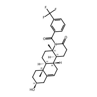 C[C@]12CC[C@H](O)CC1=CC[C@@H]1[C@@H]2CC[C@@]2(C)[C@H]1CCC(=O)N2C(=O)c1cccc(C(F)(F)F)c1